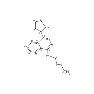 CCCCCc1ccc(C2CCCC2)c2ccccc12